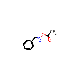 O=C(ONCc1ccccc1)C(F)(F)F